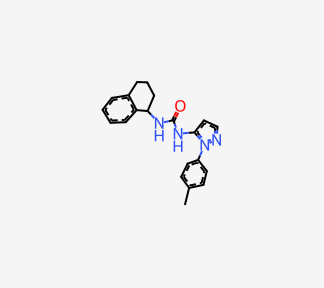 Cc1ccc(-n2nccc2NC(=O)NC2CCCc3ccccc32)cc1